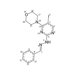 Ic1cnc(N/N=C/c2ccccc2)nc1N1CCOCC1